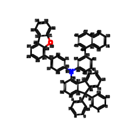 c1ccc(C2(c3ccccc3)c3ccccc3-c3c(N(c4ccc(-c5cccc6c5oc5ccccc56)cc4)c4cccc(-c5cccc6ccccc56)c4)cccc32)cc1